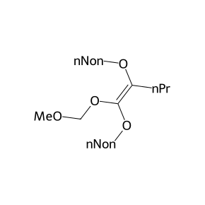 CCCCCCCCCOC(CCC)=C(OCCCCCCCCC)OCOC